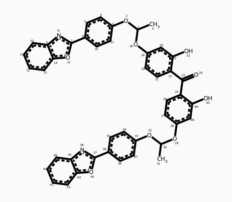 CC(Oc1ccc(-c2nc3ccccc3o2)cc1)Oc1ccc(C(=O)c2ccc(OC(C)Oc3ccc(-c4nc5ccccc5o4)cc3)cc2O)c(O)c1